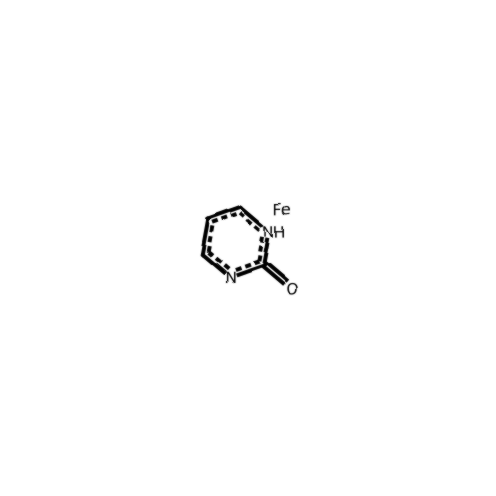 O=c1nccc[nH]1.[Fe]